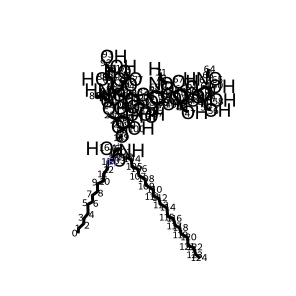 CCCCCCCCCCCCC/C=C/[C@@H](O)[C@H](CO[C@@H]1OC(CO)[C@@H](O[C@@H]2OC(CO)[C@H](O[C@@H]3OC(CO)[C@H](O)[C@H](O[C@@H]4OC(CO)[C@H](O)[C@H](O[C@@H]5OC(CO)[C@@H](O)[C@H](O)C5NC(C)=O)C4O)C3NC(C)=O)[C@H](O[C@]3(C(=O)O)CC(O)[C@@H](NC(C)=O)C([C@H](O)[C@H](O)CO)O3)C2O)[C@H](O)C1O)NC(=O)CCCCCCCCCCCCCCCCCCCCC